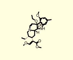 CCO[C@]12C=CN3C[C@@H](CC)[C@@H](/C(=C\OC)C(=O)OC)C[C@H]3[C@@]1(O)Nc1cc(C)cc(OC)c12